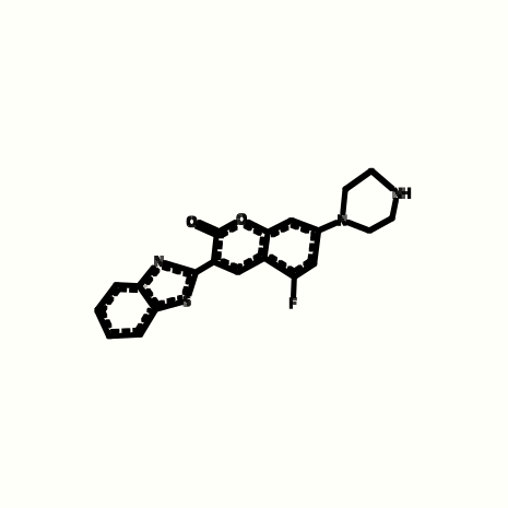 O=c1oc2cc(N3CCNCC3)cc(F)c2cc1-c1nc2ccccc2s1